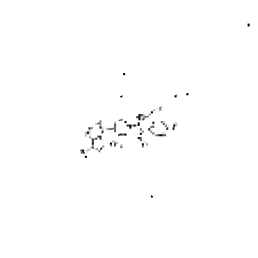 CCNC(C(C=O)c1ccc(F)cc1)N1CCN(c2ncnc3c2[C@H](C)C[C@H]3O)CC1